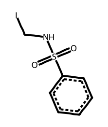 O=S(=O)(NCI)c1ccccc1